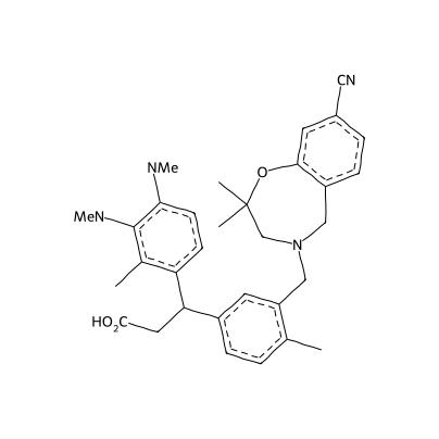 CNc1ccc(C(CC(=O)O)c2ccc(C)c(CN3Cc4ccc(C#N)cc4OC(C)(C)C3)c2)c(C)c1NC